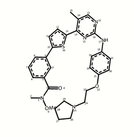 CON(C)C(=O)c1cccc(-c2ccc(-c3nc(Nc4ccc(OCCN5CCCC5)cc4)ncc3C)s2)c1